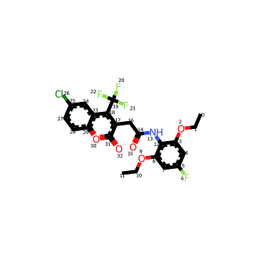 CCOc1cc(F)cc(OCC)c1NC(=O)Cc1c(C(F)(F)F)c2cc(Cl)ccc2oc1=O